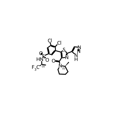 C[C@H](NS(=O)(=O)c1cc(Cl)c(Cl)c(-c2sc(-c3cnn[nH]3)nc2C(=O)N2CCCC[C@@H]2C)c1)C(F)(F)F